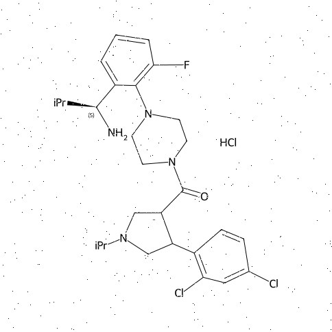 CC(C)[C@H](N)c1cccc(F)c1N1CCN(C(=O)C2CN(C(C)C)CC2c2ccc(Cl)cc2Cl)CC1.Cl